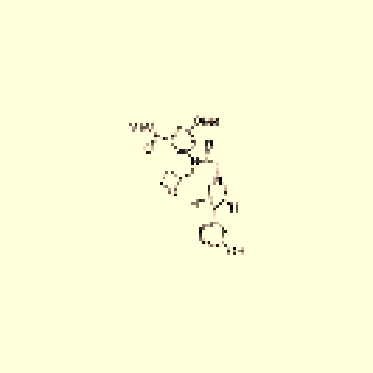 COC(=O)c1cc(OC)c2nc(CN3C[C@@H]4C(c5cccc(O)n5)[C@@H]4C3)n(C[C@@H]3CCO3)c2c1